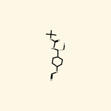 CC(C)(C)OC(=O)N[C@H](CF)C1CCC(OC=O)CC1